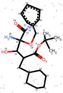 CC(C)(C)OC(=O)C(CC1CCCCC1)C(O)C(N)(OCc1ccccc1)C(N)=O